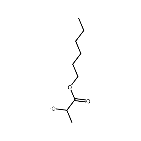 CCCCCCOC(=O)C(C)[O]